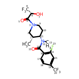 C[C@@H]1CN(C(=O)[C@@H](O)C(F)(F)F)CC[C@@H]1N(C)C(=O)c1ccc(C(F)(F)F)cc1F